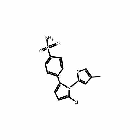 Cc1csc(-n2c(Cl)ccc2-c2ccc(S(N)(=O)=O)cc2)c1